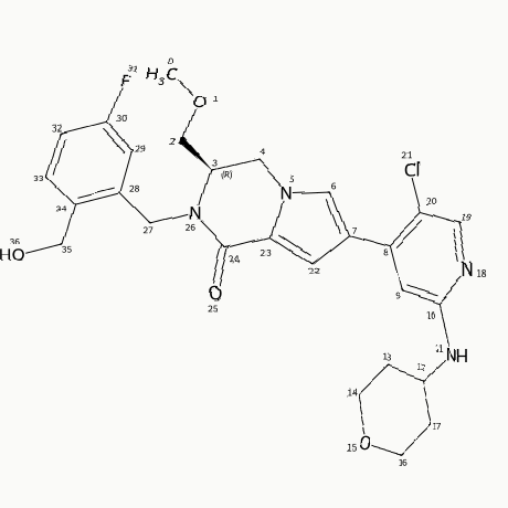 COC[C@H]1Cn2cc(-c3cc(NC4CCOCC4)ncc3Cl)cc2C(=O)N1Cc1cc(F)ccc1CO